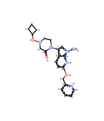 Cn1cc(N2CCN(OC3CCC3)CC2=O)c2ccc(OCc3ccccn3)nc21